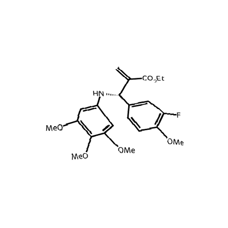 C=C(C(=O)OCC)[C@@H](Nc1cc(OC)c(OC)c(OC)c1)c1ccc(OC)c(F)c1